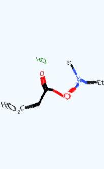 CCN(CC)OC(=O)CC(=O)O.Cl